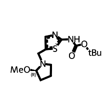 CO[C@@H]1CCCN1Cc1cnc(NC(=O)OC(C)(C)C)s1